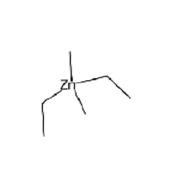 C[CH2][Zn]([CH3])([CH3])[CH2]C